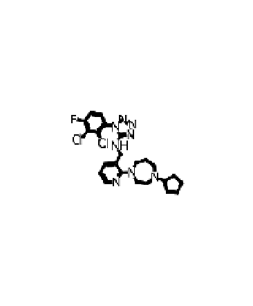 Fc1ccc(-n2nnnc2NCc2cccnc2N2CCCN(C3CCCC3)CC2)c(Cl)c1Cl